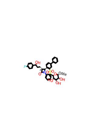 CO[C@@H]1OC(CS(=O)(=O)c2cc(-c3ccccc3)ccc2[C@@H]2[C@@H](CC[C@H](O)c3ccc(F)cc3)C(=O)N2c2ccccc2)[C@H](O)[C@@H](O)[C@@H]1O